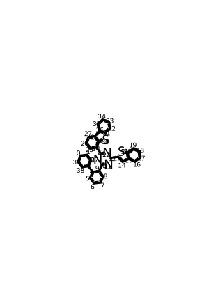 c1ccc(-c2ccccc2-c2nc(-c3cc4ccccc4s3)nc(-c3cccc4c3sc3ccccc34)n2)cc1